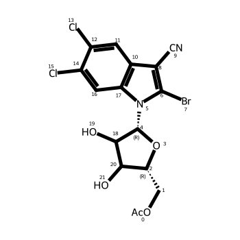 CC(=O)OC[C@H]1O[C@@H](n2c(Br)c(C#N)c3cc(Cl)c(Cl)cc32)C(O)C1O